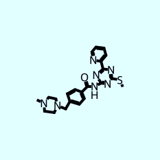 CSc1nc(NC(=O)c2ccc(CN3CCN(C)CC3)cc2)nc(-c2ccccn2)n1